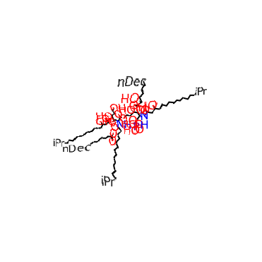 CCCCCCCCCCCCCCCC(=O)OC(CCCCCCCCCCCC(C)C)CC(=O)N[C@H]1C(OC(=O)CC(O)CCCCCCCCCC(C)C)[C@H](O)C(CO)O[C@H]1OCC1O[C@H](OP(=O)(O)O)C(NC(=O)CC(O)CCCCCCCCCCCC(C)C)[C@@H](OC(=O)CC(O)CCCCCCCCCCCCC)[C@@H]1O